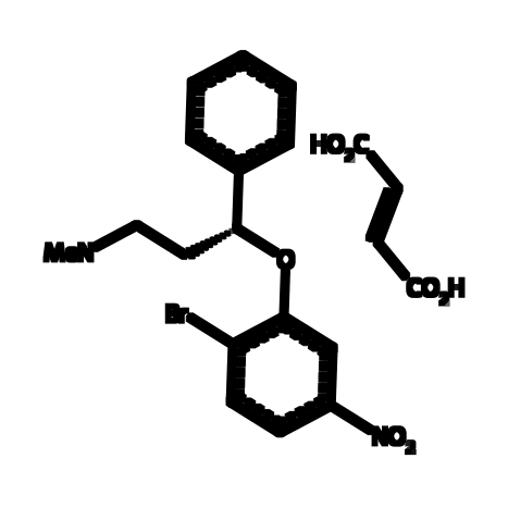 CNCC[C@@H](Oc1cc([N+](=O)[O-])ccc1Br)c1ccccc1.O=C(O)/C=C/C(=O)O